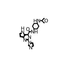 O=C(NC1CCC(NC2COC2)CC1)c1nc(-n2ccnc2)nc2cc[nH]c12